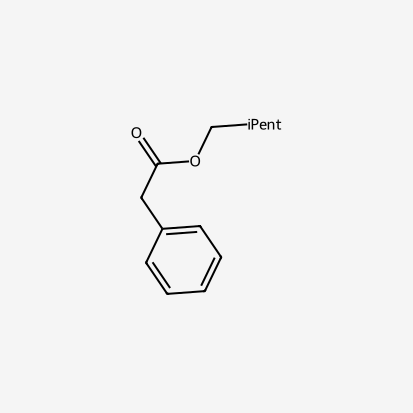 CCCC(C)COC(=O)Cc1ccccc1